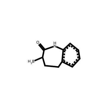 BC1CCc2ccccc2NC1=O